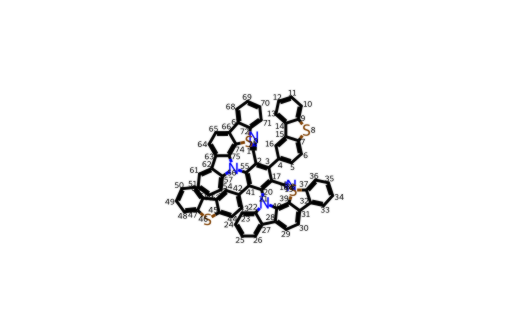 N#Cc1c(-c2ccc3sc4ccccc4c3c2)c(C#N)c(-n2c3ccccc3c3ccc4c5ccccc5sc4c32)c(-c2ccc3sc4ccccc4c3c2)c1-n1c2ccccc2c2ccc3c4ccccc4sc3c21